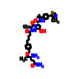 Cc1ncsc1-c1ccc(C2(NC(=O)[C@@H]3C[C@@H](O)CN3C(=O)[C@@H](NC(=O)CCCCc3ccc(CO[C@H](C)[C@@H](N)CCC(N)=O)cc3)C(C)(C)C)CC2)cc1